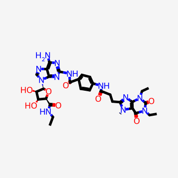 CCNC(=O)[C@@H]1O[C@@H](n2cnc3c(N)nc(NC(=O)c4ccc(NC(=O)CCc5nc6c(c(=O)n(CC)c(=O)n6CC)n5C)cc4)nc32)[C@H](O)[C@@H]1O